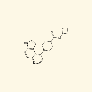 O=C(NC1CCC1)N1CCN(c2ccnc3cnc4[nH]ccc4c23)CC1